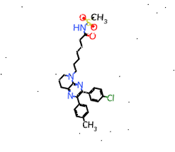 Cc1ccc(-c2nc3c(nc2-c2ccc(Cl)cc2)N(CCCCCCC(=O)NS(C)(=O)=O)CCC3)cc1